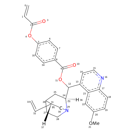 C=CC(=O)Oc1ccc(C(=O)OC(c2ccnc3ccc(OC)cc23)[C@@H]2CC3CCN2C[C@@H]3C=C)cc1